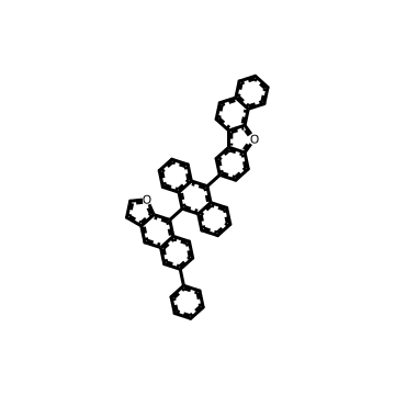 c1ccc(-c2ccc3c(-c4c5ccccc5c(-c5ccc6oc7c8ccccc8ccc7c6c5)c5ccccc45)c4occc4cc3c2)cc1